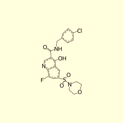 O=C(NCc1ccc(Cl)cc1)c1cnc2c(F)cc(S(=O)(=O)N3CCOCC3)cc2c1O